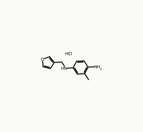 Cc1cc(NCc2ccoc2)ccc1N.Cl